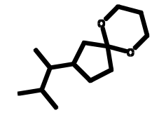 CC(C)C(C)C1CCC2(C1)OCCCO2